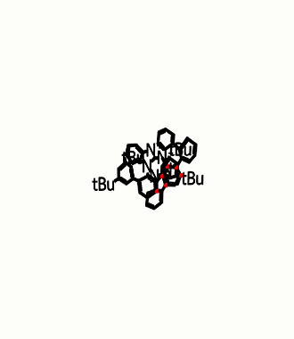 CC(C)(C)c1cc(-c2cccc(-c3cc(C(C)(C)C)cc(C(C)(C)C)c3)c2-n2c3[n+](c4ccccc42)-c2cccc4c2[N+]32c3c(ccc5c6ccccc6n(c35)-c3cccc[n+]32)-c2ccccc2-4)cc(C(C)(C)C)c1